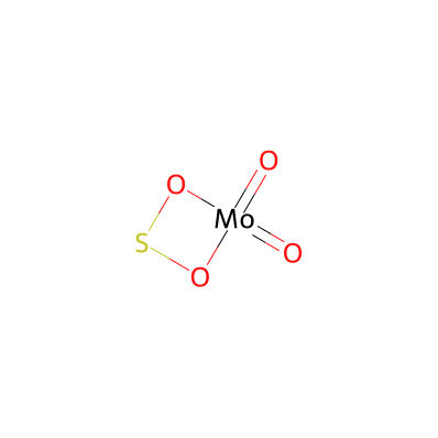 [O]=[Mo]1(=[O])[O]S[O]1